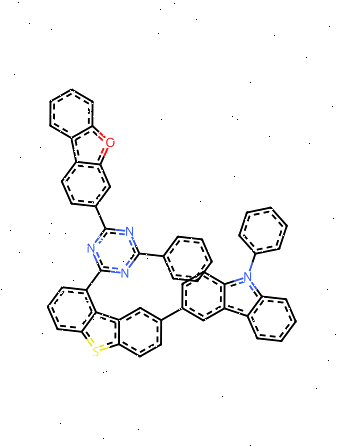 c1ccc(-c2nc(-c3ccc4c(c3)oc3ccccc34)nc(-c3cccc4sc5ccc(-c6ccc7c(c6)c6ccccc6n7-c6ccccc6)cc5c34)n2)cc1